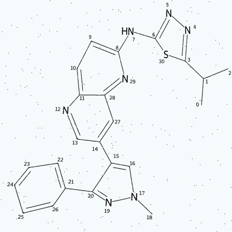 CC(C)c1nnc(Nc2ccc3ncc(-c4cn(C)nc4-c4ccccc4)cc3n2)s1